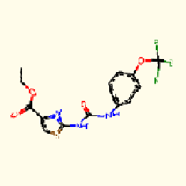 CCOC(=O)c1csc(NC(=O)Nc2ccc(OC(F)(F)F)cc2)n1